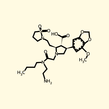 CCCCN(CCN)C(=O)CN1C[C@H](c2cc(OC)c3c(c2)OCO3)[C@@H](C(=O)O)[C@@H]1CCN1CCCS1(=O)=O